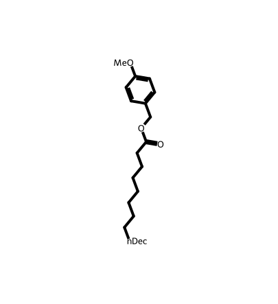 CCCCCCCCCCCCCCCCCC(=O)OCc1ccc(OC)cc1